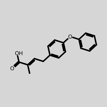 C/C(=C\Cc1ccc(Oc2ccccc2)cc1)C(=O)O